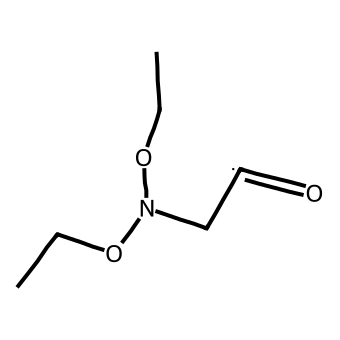 CCON(C[C]=O)OCC